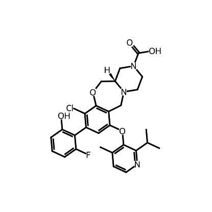 Cc1ccnc(C(C)C)c1Oc1cc(-c2c(O)cccc2F)c(Cl)c2c1CN1CCN(C(=O)O)C[C@H]1CO2